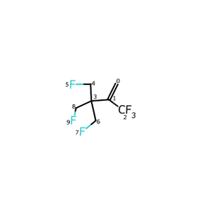 C=C(C(F)(F)F)C(CF)(CF)CF